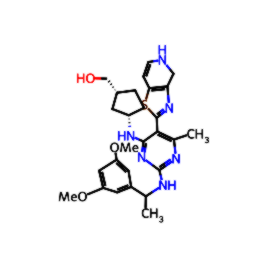 COc1cc(OC)cc(C(C)Nc2nc(C)c(-c3nc4c(s3)C=CNC4)c(N[C@H]3CC[C@@H](CO)C3)n2)c1